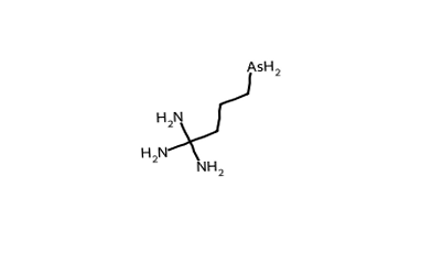 NC(N)(N)CCC[AsH2]